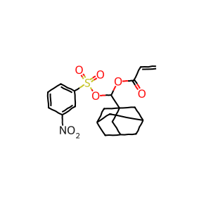 C=CC(=O)OC(OS(=O)(=O)c1cccc([N+](=O)[O-])c1)C12CC3CC(CC(C3)C1)C2